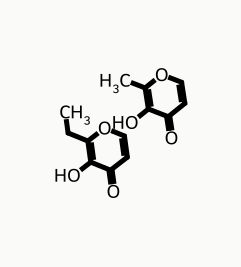 CCc1occc(=O)c1O.Cc1occc(=O)c1O